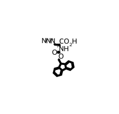 [N-]=[N+]=NC[C@@H](NC(=O)OCC1c2ccccc2-c2ccccc21)C(=O)O